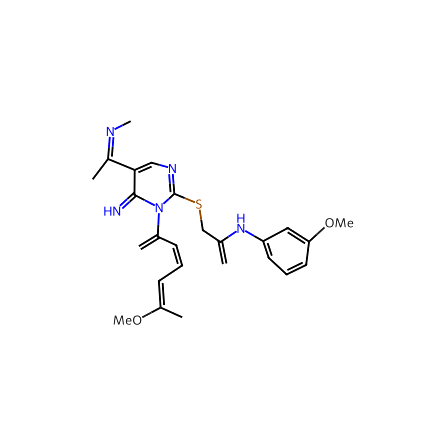 C=C(CSc1ncc(/C(C)=N\C)c(=N)n1C(=C)/C=C\C=C(/C)OC)Nc1cccc(OC)c1